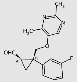 Cc1ncc(OC[C@@]2(c3cccc(F)c3)C[C@H]2C=O)c(C)n1